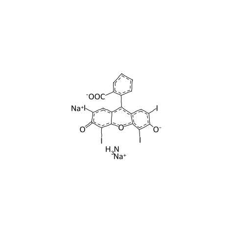 N.O=C([O-])c1ccccc1-c1c2cc(I)c(=O)c(I)c-2oc2c(I)c([O-])c(I)cc12.[Na+].[Na+]